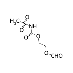 CS(=O)(=O)NC(=O)OCCOC=O